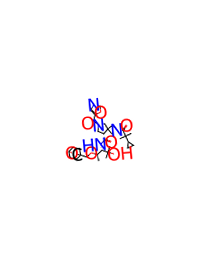 C[C@@H](OCC12CCC(CC1)OC2)[C@H](NC(=O)[C@@H]1CN(C(=O)c2cnco2)CC12CN(C(=O)C(C)(C)C1CC1)C2)C(C)(C)O